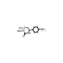 CCOC(=O)CC(NC(=O)OC(C)(C)C)c1ccc([N+](=O)[O-])cc1